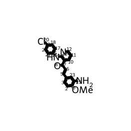 COc1ccc(C=CC(=O)c2cccnc2Nc2ccc(Cl)cc2)cc1N